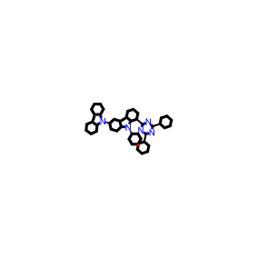 c1ccc(-c2nc(-c3ccccc3)nc(-c3cccc4c5cc(-n6c7ccccc7c7ccccc76)ccc5n(-c5ccccc5)c34)n2)cc1